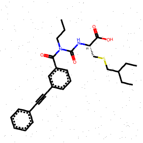 CCCN(C(=O)N[C@@H](CSCC(CC)CC)C(=O)O)C(=O)c1cccc(C#Cc2ccccc2)c1